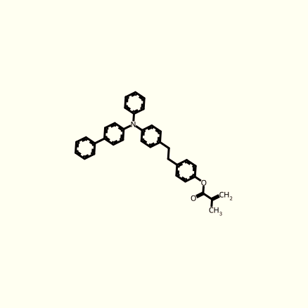 C=C(C)C(=O)Oc1ccc(CCc2ccc(N(c3ccccc3)c3ccc(-c4ccccc4)cc3)cc2)cc1